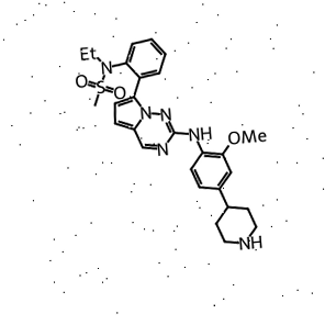 CCN(c1ccccc1-c1ccc2cnc(Nc3ccc(C4CCNCC4)cc3OC)nn12)S(C)(=O)=O